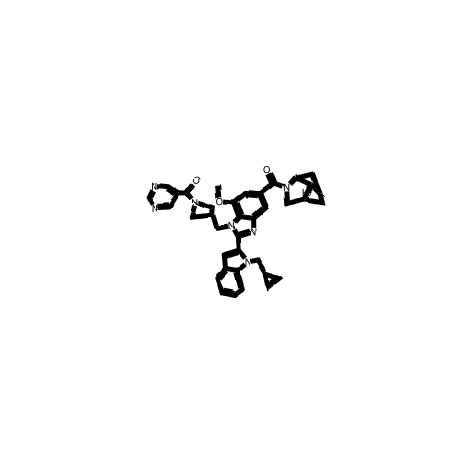 COc1cc(C(=O)N2CC3CC4CC2[C@H]43)cc2nc(-c3cc4ccccc4n3CC3CC3)n(CC3CN(C(=O)c4cncnc4)C3)c12